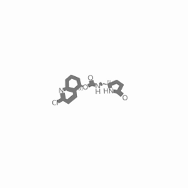 O=C1CC[C@@H](CNC(=O)O[C@@H]2CCCc3nc(Cl)ccc32)N1